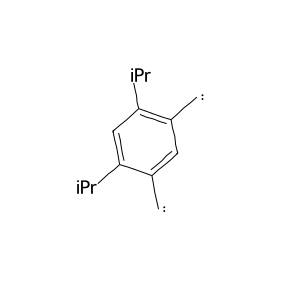 [CH]c1cc([CH])c(C(C)C)cc1C(C)C